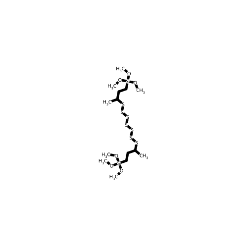 CO[Si](CCC(C)SSSSSSSC(C)CC[Si](OC)(OC)OC)(OC)OC